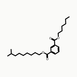 CCCCCCOC(=O)c1cccc(C(=O)OCCCCCCCC(C)C)c1